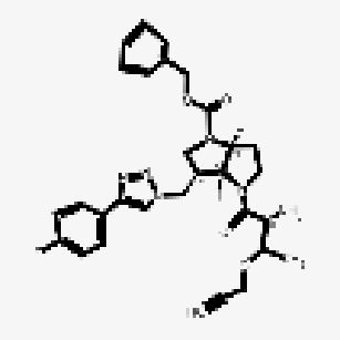 C#CCOC(C)[C@H](N)C(=O)N1CC[C@@H]2[C@H]1[C@@H](Cn1cc(-c3ccc(F)cc3)nn1)CN2C(=O)OCc1ccccc1